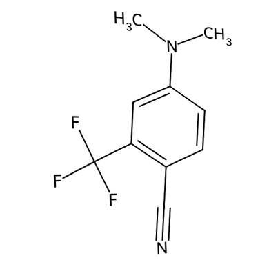 CN(C)c1ccc(C#N)c(C(F)(F)F)c1